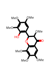 COc1cc(C2Oc3c(cc(OC)c(OC)c3OC)C(=O)C2OC)c(O)c(OC)c1OC